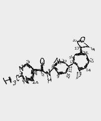 Cc1ncc(C(=O)Nc2ccc(-c3cccc(C4COC4)c3)cn2)cn1